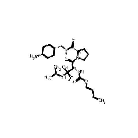 CCCCOC(=O)N[C@@H](C(=O)N1CCC[C@H]1C(=O)NC[C@H]1CC[C@H](N)CC1)C(C)(C)SC(C)C